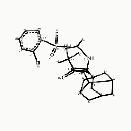 CC(C)NC(=O)C12CC3CC(C1)C(NC(=O)C(C)(C)NS(=O)(=O)c1ccccc1Cl)C(C3)C2